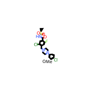 COc1cc(N2CCN(Cc3cc(F)c(C(=O)NS(=O)(=O)C4CC4)cc3Cl)CC2)ccc1Cl